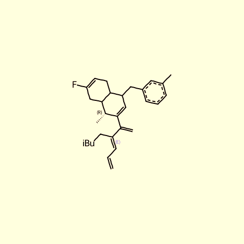 C=C/C=C(\CC(C)CC)C(=C)C1=CC(Cc2cccc(C)c2)C2CC=C(F)CC2[C@H]1C